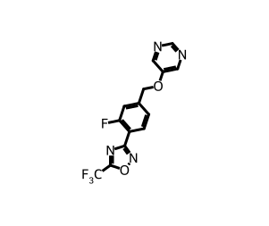 Fc1cc(COc2cncnc2)ccc1-c1noc(C(F)(F)F)n1